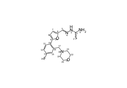 NC(=S)NN=Cc1ccc(-c2ccc(F)cc2CN2CCOCC2)o1